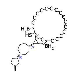 BC1CCCCCCCCCCCCCCCC2(B)C=C3/C(=C4/CCC/C(=C5\CCC(=C)C5)CC4)C3C1(S)CC2